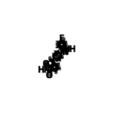 CC(c1cccc2c1C(=O)NC2=O)N1CCN(c2n[nH]c3cc(F)ccc23)CC1